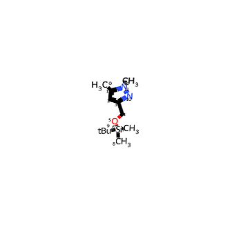 Cc1cc(CO[Si](C)(C)C(C)(C)C)nn1C